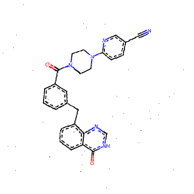 N#Cc1ccc(N2CCN(C(=O)c3cccc(Cc4cccc5c(=O)[nH]cnc45)c3)CC2)nc1